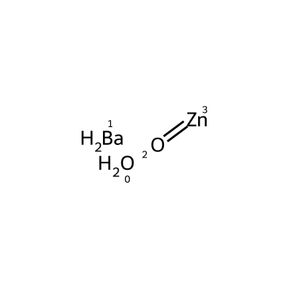 O.[BaH2].[O]=[Zn]